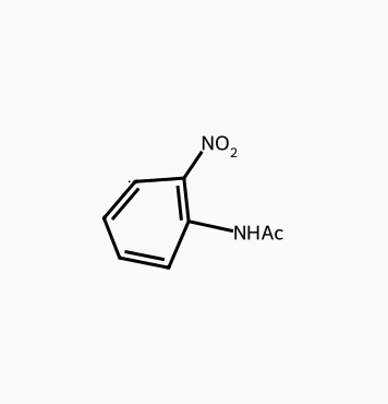 CC(=O)Nc1ccc[c]c1[N+](=O)[O-]